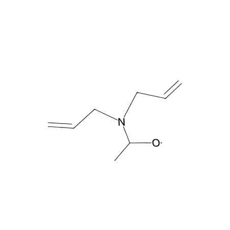 C=CCN(CC=C)C(C)[O]